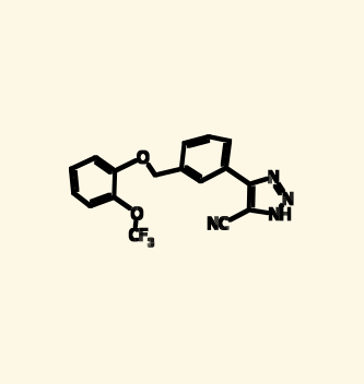 N#Cc1[nH]nnc1-c1cccc(COc2ccccc2OC(F)(F)F)c1